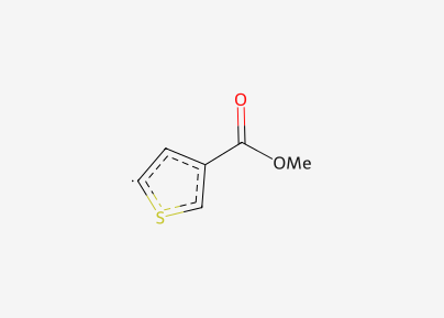 COC(=O)c1c[c]sc1